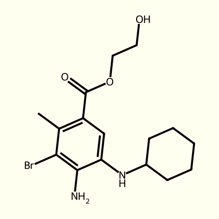 Cc1c(C(=O)OCCO)cc(NC2CCCCC2)c(N)c1Br